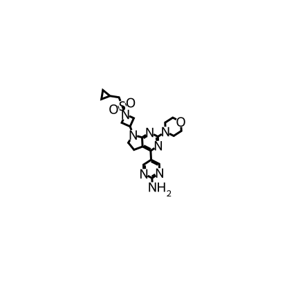 Nc1ncc(-c2nc(N3CCOCC3)nc3c2CCN3C2CN(S(=O)(=O)CC3CC3)C2)cn1